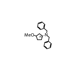 COC1CC[C@@H](N(Cc2ccccc2)Cc2ccccc2)C1